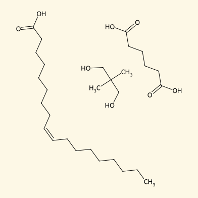 CC(C)(CO)CO.CCCCCCCC/C=C\CCCCCCCC(=O)O.O=C(O)CCCCC(=O)O